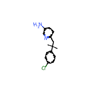 CC(C)(Cc1ccc(N)cn1)c1ccc(Cl)cc1